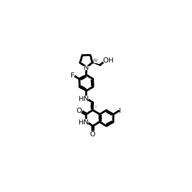 O=C1NC(=O)c2ccc(I)cc2/C1=C/Nc1ccc(N2CCC[C@H]2CO)c(F)c1